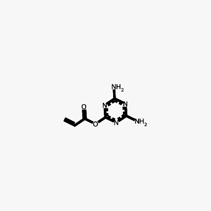 C=CC(=O)Oc1nc(N)nc(N)n1